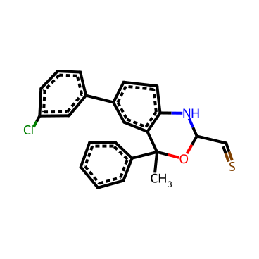 CC1(c2ccccc2)OC(C=S)Nc2ccc(-c3cccc(Cl)c3)cc21